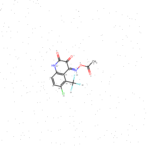 CC(=O)ON=C1C(=O)C(=O)Nc2ccc(Cl)c(C(F)(F)F)c21